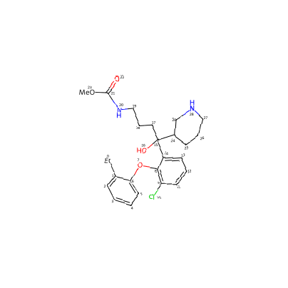 CCc1ccccc1Oc1c(Cl)cccc1C(O)(CCCNC(=O)OC)C1CCCNC1